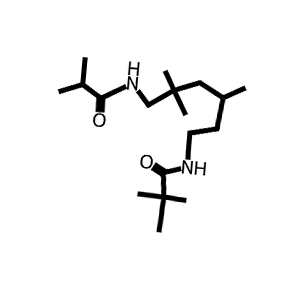 CC(CCNC(=O)C(C)(C)C)CC(C)(C)CNC(=O)C(C)C